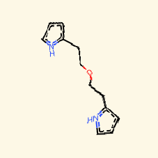 c1c[nH]c(CCOCCc2ccc[nH]2)c1